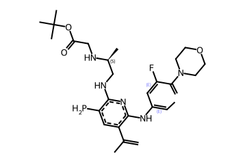 C=C(C)c1cc(P)c(NC[C@H](C)NCC(=O)OC(C)(C)C)nc1NC(=C/C)/C=C(/F)C(=C)N1CCOCC1